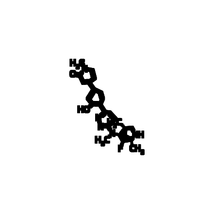 CN(c1ccc(-c2ccc(-c3ccn(C)c(=O)c3)cc2O)nn1)[C@H]1[C@H](F)[C@@]2(C)C[C@]1(C)CN2